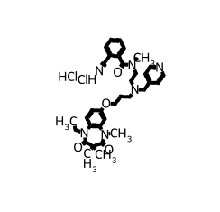 CCN1C(=O)C(C)(C)C(=O)N(C)c2cc(OCCCN(CCN(C)C(=O)c3ccccc3C#N)Cc3ccncc3)ccc21.Cl.Cl